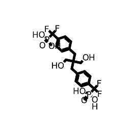 O=P(O)(O)C(F)(F)c1ccc(CC(CO)(CO)Cc2ccc(C(F)(F)P(=O)(O)O)cc2)cc1